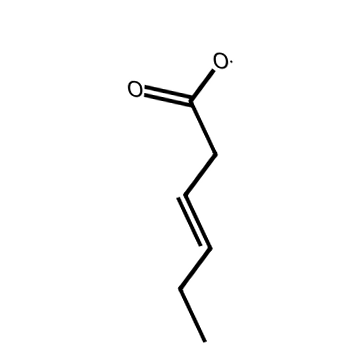 CCC=CCC([O])=O